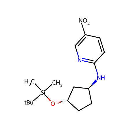 CC(C)(C)[Si](C)(C)O[C@H]1CC[C@H](Nc2ccc([N+](=O)[O-])cn2)C1